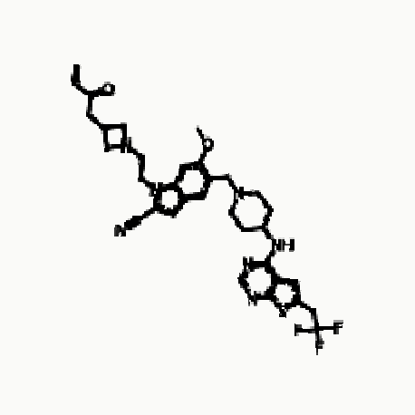 C=CC(=O)CC1CN(CCn2c(C#N)cc3cc(CN4CCC(Nc5ncnc6sc(CC(F)(F)F)cc56)CC4)c(OC)cc32)C1